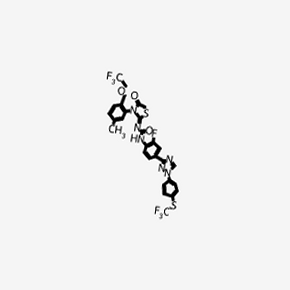 Cc1ccc(COCC(F)(F)F)c(N2C(=O)CS/C2=N\C(=O)Nc2ccc(-c3ncn(-c4ccc(SC(F)(F)F)cc4)n3)cc2F)c1